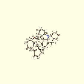 CC1(C)c2ccccc2-n2c3ccccc3c3c4c(cc1c32)-c1ccccc1C41c2ccccc2-c2ccccc21